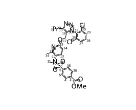 COC(=O)c1ccc(S(=O)(=O)N(C)c2ccc(OCc3c(C(C)C)nnn3-c3c(Cl)cccc3Cl)nc2C)cc1